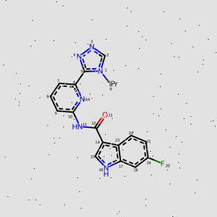 CC(C)n1cnnc1-c1cccc(NC(=O)c2c[nH]c3cc(F)ccc23)n1